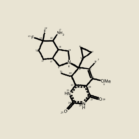 COC1=C(F)C(C2CC2)(N2CC3CCC(F)(F)C(N)C3C2)C(C)c2[nH]c(=O)[nH]c(=O)c21